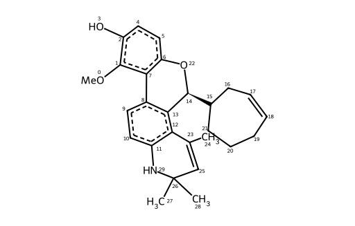 COc1c(O)ccc2c1-c1ccc3c(c1[C@H](C1CC=CCCC1)O2)C(C)=CC(C)(C)N3